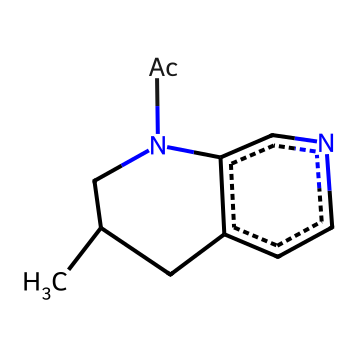 CC(=O)N1CC(C)Cc2ccncc21